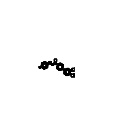 Cc1ccc(OCC(=O)N2CCN(c3ccc(Cl)c(Cl)c3)CC2)cc1